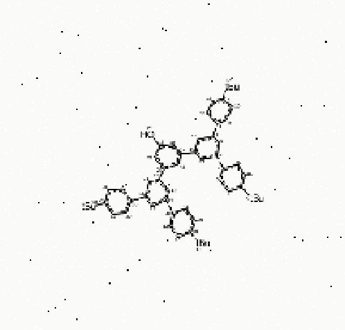 CC(C)(C)c1ccc(-c2cc(-c3ccc(C(C)(C)C)cc3)cc(-c3cc(O)cc(-c4cc(-c5ccc(C(C)(C)C)cc5)cc(-c5ccc(C(C)(C)C)cc5)c4)c3)c2)cc1